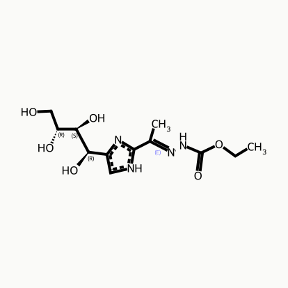 CCOC(=O)N/N=C(\C)c1nc([C@@H](O)[C@H](O)[C@H](O)CO)c[nH]1